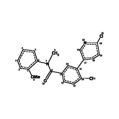 COc1ccccc1N(C)C(=O)c1ccc(Cl)c(-c2ccc(Cl)nc2)c1